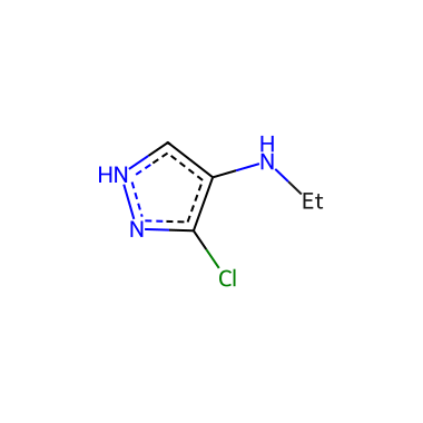 CCNc1c[nH]nc1Cl